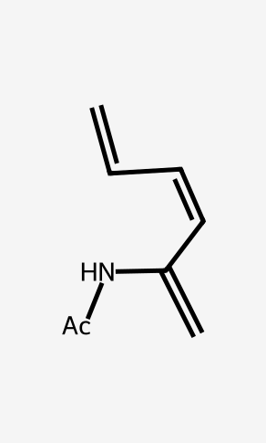 C=C/C=C\C(=C)NC(C)=O